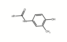 CCCC(=O)Nc1ccc(O)c(C)c1